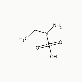 CCN(N)S(=O)(=O)O